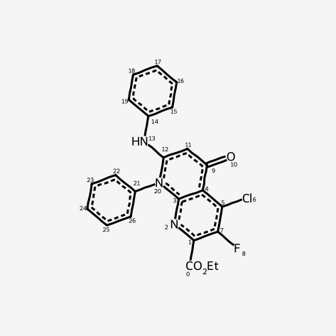 CCOC(=O)c1nc2c(c(Cl)c1F)c(=O)cc(Nc1ccccc1)n2-c1ccccc1